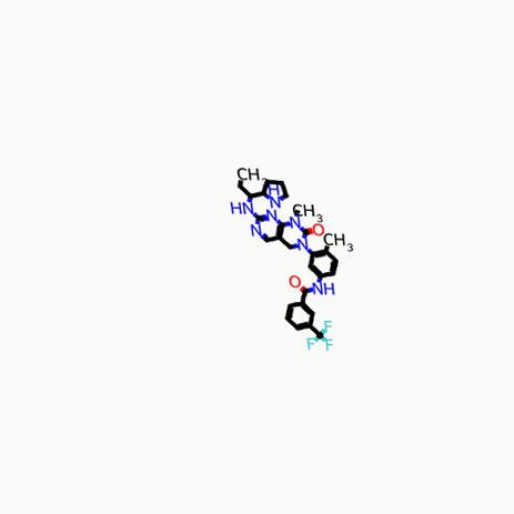 CCC(Nc1ncc2c(n1)N(C)C(=O)N(c1cc(NC(=O)c3cccc(C(F)(F)F)c3)ccc1C)C2)C1CCCN1